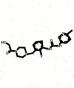 Cc1ccc(NC(=O)Nc2cccc(CN3CCN(C(=O)CO)CC3)c2F)cn1